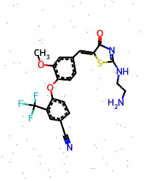 COc1cc(/C=C2\SC(NCCN)=NC2=O)ccc1Oc1ccc(C#N)cc1C(F)(F)F